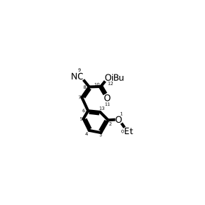 CCOc1cccc(C=C(C#N)C(=O)OCC(C)C)c1